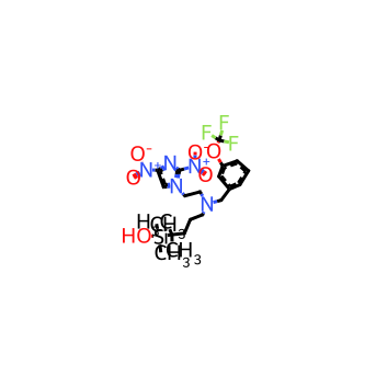 CC(C)(CCCN(CCn1cc([N+](=O)[O-])nc1[N+](=O)[O-])Cc1cccc(OC(F)(F)F)c1)[Si](C)(C)O